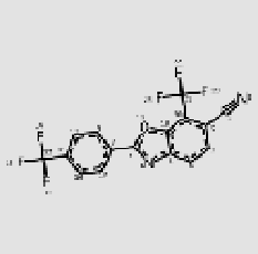 N#Cc1ccc2nc(-c3ccc(C(F)(F)F)cc3)oc2c1C(F)(F)F